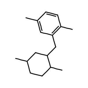 Cc1ccc(C)c(CC2CC(C)CCC2C)c1